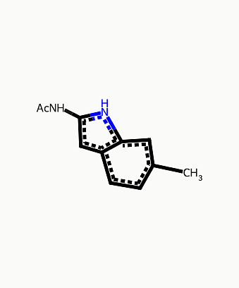 CC(=O)Nc1cc2ccc(C)cc2[nH]1